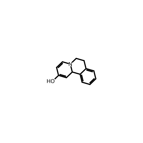 OC1=CC2c3ccccc3CCN2C=C1